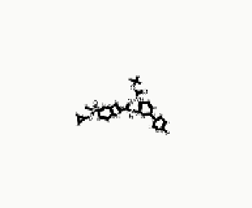 CC(C)(C)OC(=O)Nc1ccc(-c2ccc(F)cc2)cc1NC(=O)c1cc2cc(S(C)(=O)=NC3CC3)ccc2s1